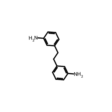 Nc1cccc(CCc2cccc(N)c2)c1